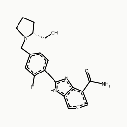 NC(=O)c1cccc2[nH]c(-c3ccc(CN4CCC[C@@H]4CO)cc3F)nc12